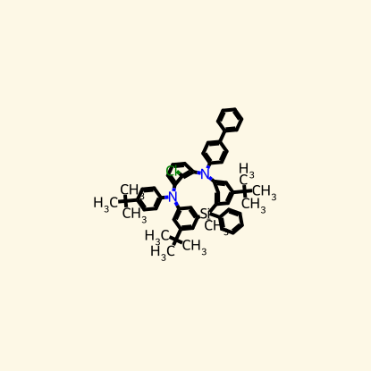 CC(C)(C)c1ccc(N2c3cc(C(C)(C)C)cc(c3)[Si](C)(c3ccccc3)c3cc(cc(C(C)(C)C)c3)N(c3ccc(-c4ccccc4)cc3)c3cccc2c3Cl)cc1